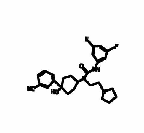 N#Cc1cccc([C@]2(O)CC[C@@H](N(CCN3CCCC3)C(=O)Nc3cc(F)cc(F)c3)CC2)c1